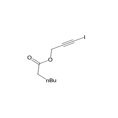 CCCCCC(=O)OCC#CI